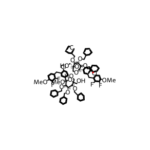 COc1ccc(Cc2cc([C@]3(OC)OC(CO)(CO)[C@@H](OCc4ccccc4)[C@H](OCc4ccccc4)[C@H]3OCc3ccccc3)ccc2Cl)c(F)c1F.COc1ccc(Cc2cc([C@]34OC[C@](CO)(O3)[C@@H](OCc3ccccc3)[C@H](OCc3ccccc3)[C@H]4OCc3ccccc3)ccc2Cl)c(F)c1F